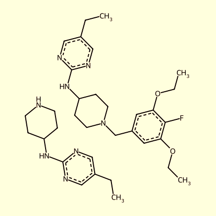 CCOc1cc(CN2CCC(Nc3ncc(CC)cn3)CC2)cc(OCC)c1F.CCc1cnc(NC2CCNCC2)nc1